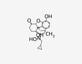 CCC[C@@]12c3c4ccc(O)c3OC1C(=O)CCC2(O)C(N(O)CC1CC1)C4